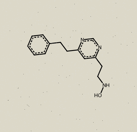 ONCCc1cc(CCc2ccccc2)ncn1